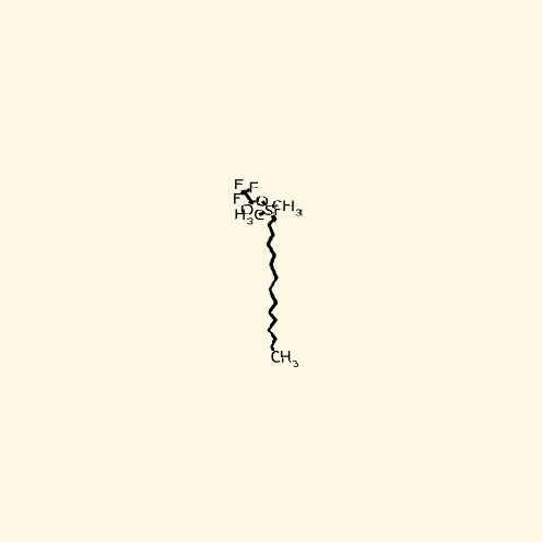 CCCCCCCCCCCCCCC[Si](C)(C)OC(=O)C(F)(F)F